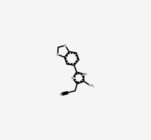 Cc1[nH]c(-c2ccc3c(c2)OCO3)nc1CC#N